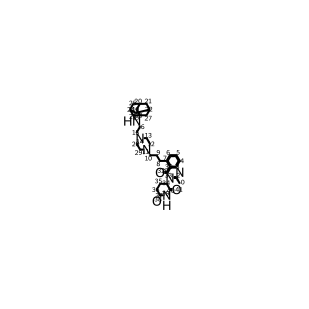 Cc1nc2cccc(CCCN3CCN(CCNC45CC6CC(CC(C6)C4)C5)CC3)c2c(=O)n1C1CCC(=O)NC1=O